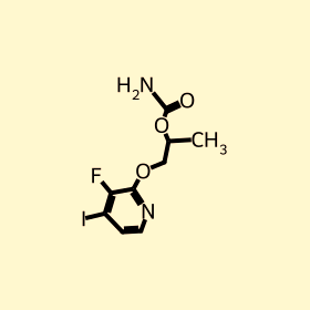 CC(COc1nccc(I)c1F)OC(N)=O